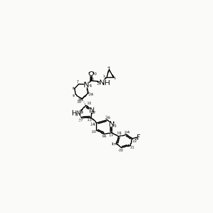 O=C(NC1CC1)N1CCC[C@@H](c2nc(-c3ccc(-c4cccc(F)c4)nc3)c[nH]2)C1